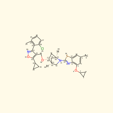 CC(=O)c1cc(OC2CC2)c2nc(N3C[C@@H]4C[C@H]3C[C@H]4OCc3c(-c4c(C)cccc4Cl)noc3C3CC3)sc2c1